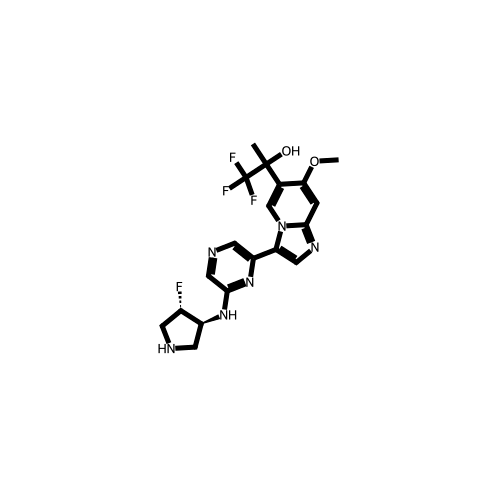 COc1cc2ncc(-c3cncc(N[C@H]4CNC[C@@H]4F)n3)n2cc1C(C)(O)C(F)(F)F